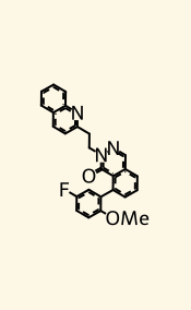 COc1ccc(F)cc1-c1cccc2cnn(CCc3ccc4ccccc4n3)c(=O)c12